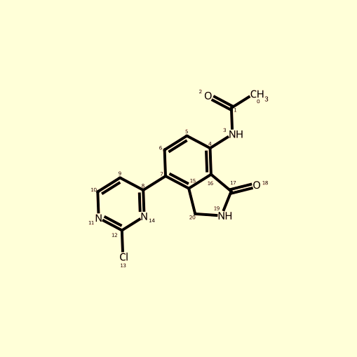 CC(=O)Nc1ccc(-c2ccnc(Cl)n2)c2c1C(=O)NC2